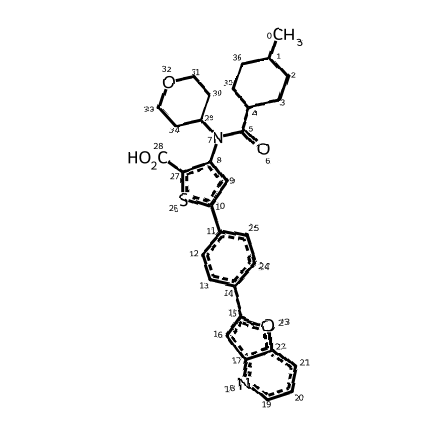 CC1CCC(C(=O)N(c2cc(-c3ccc(-c4cc5ncccc5o4)cc3)sc2C(=O)O)C2CCOCC2)CC1